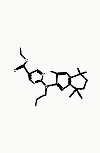 CCCN(c1ncc(C(=O)OCC)cn1)c1cc2c(cc1C)C(C)(C)CCC2(C)C